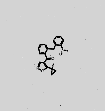 C[S+]([O-])c1ccccc1Cc1ccccc1C(=O)c1cnoc1C1(C)CC1